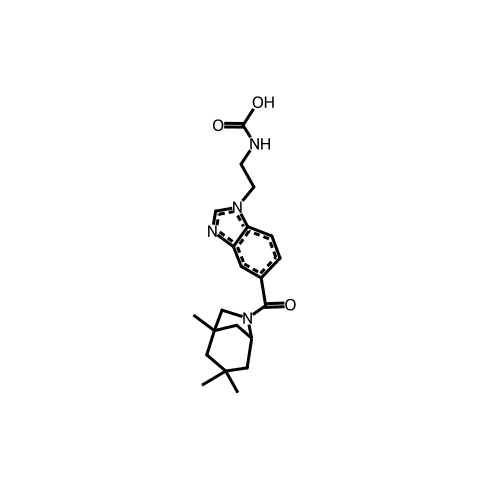 CC1(C)CC2CC(C)(CN2C(=O)c2ccc3c(c2)ncn3CCNC(=O)O)C1